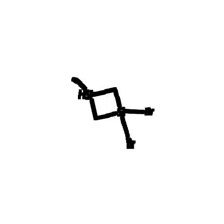 C[SiH]1C[Si](Br)(Br)C1